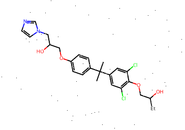 CCC(O)COc1c(Cl)cc(C(C)(C)c2ccc(OCC(O)Cn3ccnc3)cc2)cc1Cl